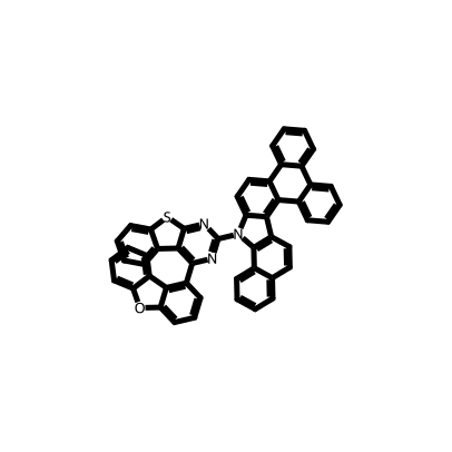 c1ccc2c(c1)ccc1c3c4c5ccccc5c5ccccc5c4ccc3n(-c3nc(-c4cccc5oc6ccccc6c45)c4c(n3)sc3ccccc34)c21